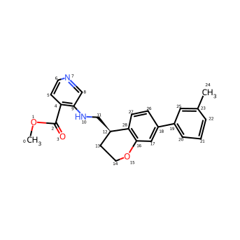 COC(=O)c1ccncc1NC[C@@H]1CCOc2cc(-c3cccc(C)c3)ccc21